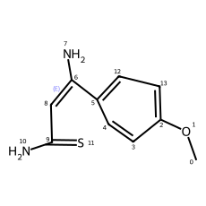 COc1ccc(/C(N)=C\C(N)=S)cc1